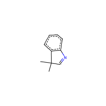 CC1(C)[C]=Nc2ccccc21